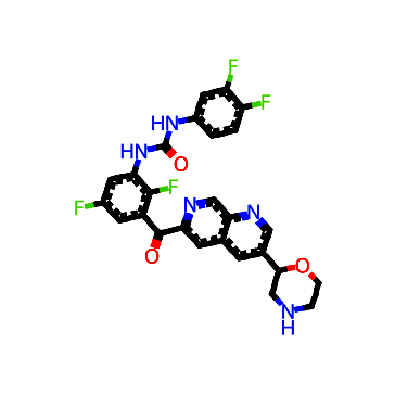 O=C(Nc1ccc(F)c(F)c1)Nc1cc(F)cc(C(=O)c2cc3cc(C4CNCCO4)cnc3cn2)c1F